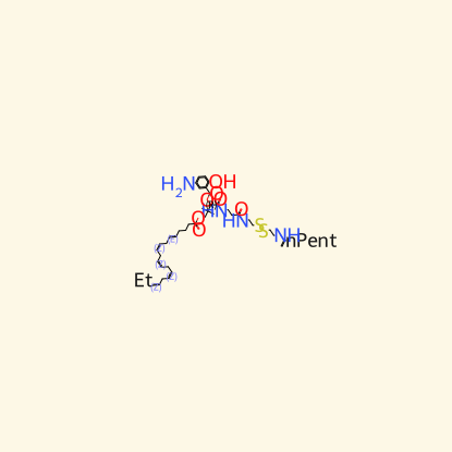 C=C(CCCCC)NCCSSCCNC(=O)CCNC(=O)[C@H](OC(=O)c1cc(N)ccc1O)C(C)(C)COC(=O)CCC/C=C/C/C=C\C/C=C\C/C=C\C/C=C\CC